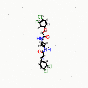 O=C(/C=C/c1ccc(Cl)c(Cl)c1)NC12CC(NC(=O)COc3ccc(Cl)c(F)c3)(C1)C2